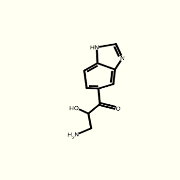 NCC(O)C(=O)c1ccc2[nH]cnc2c1